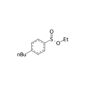 CCCCc1ccc([S@](=O)OCC)cc1